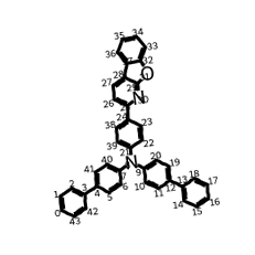 c1ccc(-c2ccc(N(c3ccc(-c4ccccc4)cc3)c3ccc(-c4ccc5c(n4)oc4ccccc45)cc3)cc2)cc1